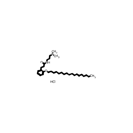 CCCCCCCCCCCCCCCCCCOc1ccccc1CCC(=O)NCCCN(C)C.Cl